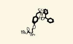 CCCN(CCOc1ccc(CC(Nc2ccccc2C(=O)c2ccccc2)C(=O)O)cc1)C(=O)C(C)(C)C